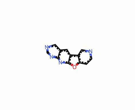 c1cc2oc3nc4ncncc4cc3c2cn1